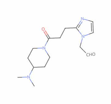 CN(C)C1CCN(C(=O)CCc2nccn2CC=O)CC1